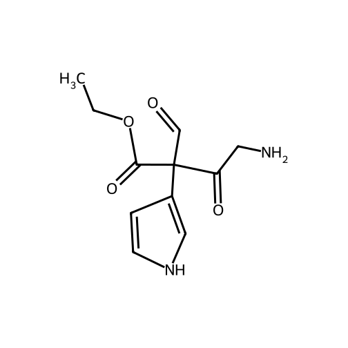 CCOC(=O)C(C=O)(C(=O)CN)c1cc[nH]c1